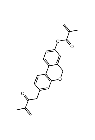 C=C(C)C(=O)Cc1ccc2c(c1)OCc1cc(OC(=O)C(=C)C)ccc1-2